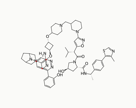 Cc1ncsc1-c1ccc([C@H](C)NC(=O)[C@@H]2C[C@@H](O)CN2C(=O)[C@@H](c2cc(N3CCCC(CN4CCC(O[C@H]5C[C@H](Oc6cc(N7C8CCC7CN(c7cc(-c9ccccc9O)nnc7N)C8)ccn6)C5)CC4)C3)no2)C(C)C)cc1